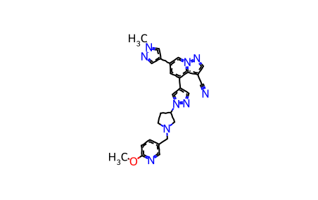 COc1ccc(CN2CCC(n3cc(-c4cc(-c5cnn(C)c5)cn5ncc(C#N)c45)cn3)C2)cn1